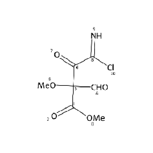 COC(=O)C(C=O)(OC)C(=O)C(=N)Cl